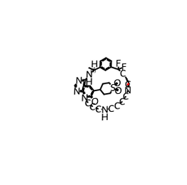 C[C@@H]1Nc2ncnc3c2cc(C2CCS(=O)(=O)CC2)c(=O)n3CCCNCCCCN2CC(C2)CC(F)(F)c2cccc1c2